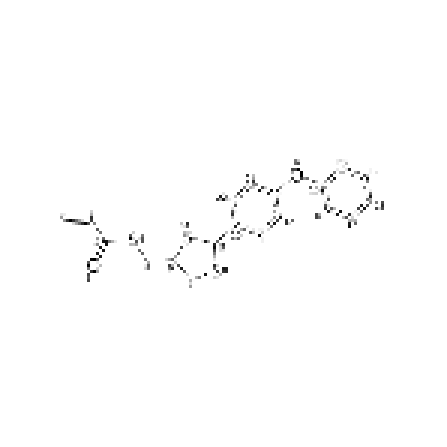 C=CC(=O)SCC1CSC(c2ccc(Oc3ccccc3)cc2)S1